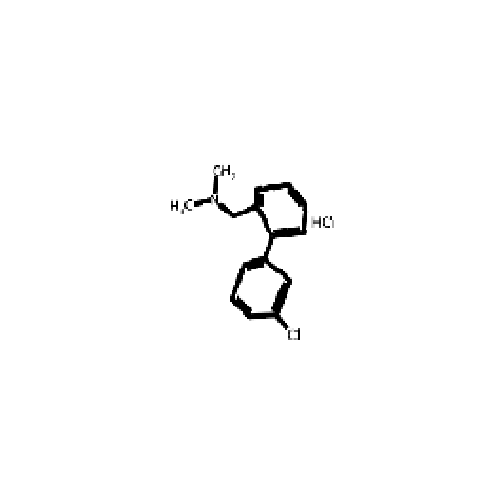 CN(C)Cc1ccccc1-c1cccc(Cl)c1.Cl